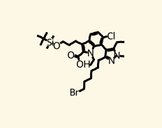 CCc1c(-c2c(Cl)ccc3c(CCCO[Si](C)(C)C(C)(C)C)c(C(=O)O)n(CC)c23)c(CCCCCCBr)nn1C